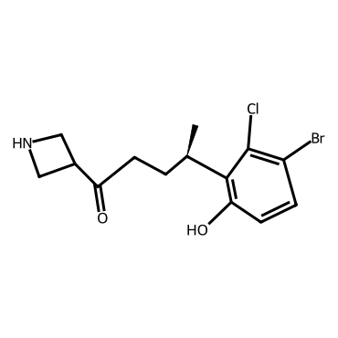 C[C@H](CCC(=O)C1CNC1)c1c(O)ccc(Br)c1Cl